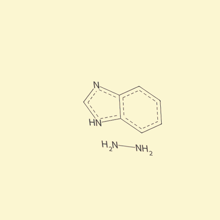 NN.c1ccc2[nH]cnc2c1